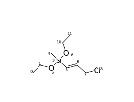 CCO[Si](C)(C=CCCl)OCC